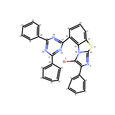 Brc1c(-c2ccccc2)nc2sc3cccc(-c4nc(-c5ccccc5)nc(-c5ccccc5)n4)c3n12